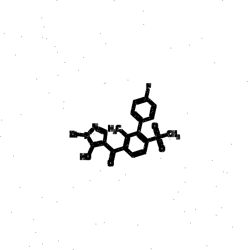 CCn1ncc(C(=O)c2ccc(S(C)(=O)=O)c(-c3ccc(F)cc3)c2C)c1O